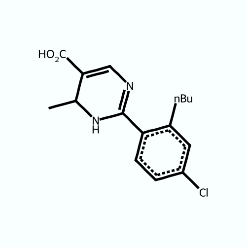 CCCCc1cc(Cl)ccc1C1=NC=C(C(=O)O)C(C)N1